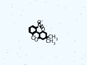 CC1(C)CC(=O)C(c2c(Cl)cccc2[N+](=O)[O-])C(=O)C1